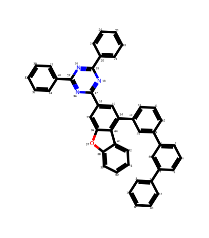 c1ccc(-c2cccc(-c3cccc(-c4cc(-c5nc(-c6ccccc6)nc(-c6ccccc6)n5)cc5oc6ccccc6c45)c3)c2)cc1